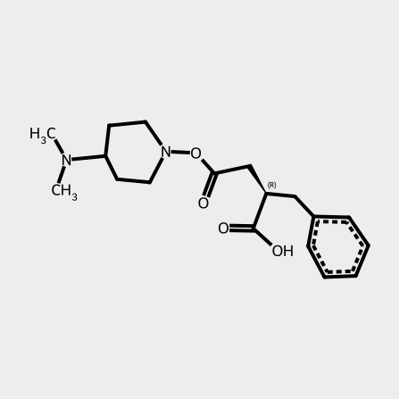 CN(C)C1CCN(OC(=O)C[C@@H](Cc2ccccc2)C(=O)O)CC1